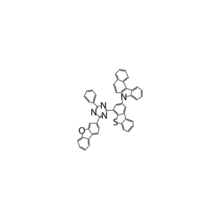 c1ccc(-c2nc(-c3ccc4c(c3)oc3ccccc34)nc(-c3cc(-n4c5ccccc5c5c6ccccc6ccc54)cc4c3sc3ccccc34)n2)cc1